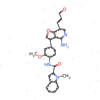 COc1cc(-c2coc3c(C=CC=O)cnc(N)c23)ccc1NC(=O)c1cc2ccccc2n1C